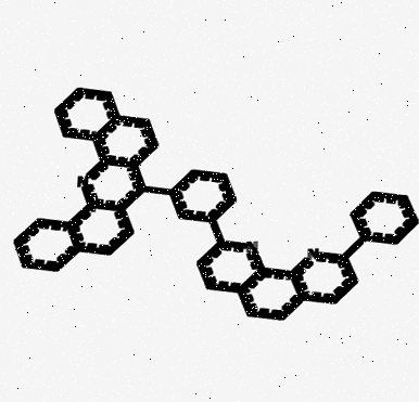 c1ccc(-c2ccc3ccc4ccc(-c5cccc(-c6c7ccc8ccccc8c7nc7c6ccc6ccccc67)c5)nc4c3n2)cc1